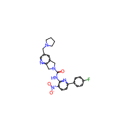 O=C(Nc1nc(-c2ccc(F)cc2)ccc1[N+](=O)[O-])N1Cc2cc(CN3CCCC3)cnc2C1